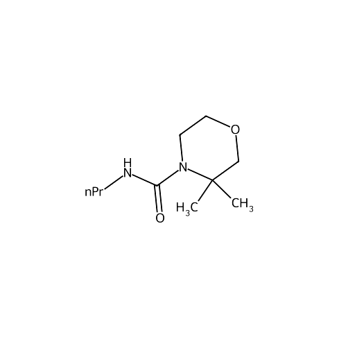 CCCNC(=O)N1CCOCC1(C)C